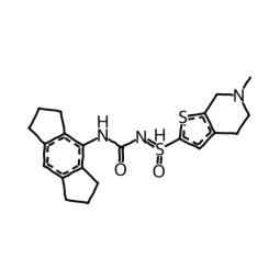 CN1CCc2cc(/[SH](=O)=N/C(=O)Nc3c4c(cc5c3CCC5)CCC4)sc2C1